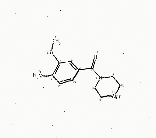 COc1cc(C(=O)N2CCNCC2)ccc1N